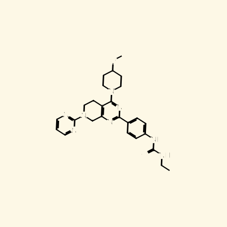 CCNC(=O)Nc1ccc(-c2nc3c(c(N4CCC(OC)CC4)n2)CCN(c2ncccn2)C3)cc1